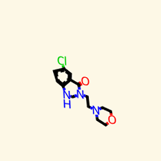 O=C1c2cc(Cl)ccc2NCN1CCN1CCOCC1